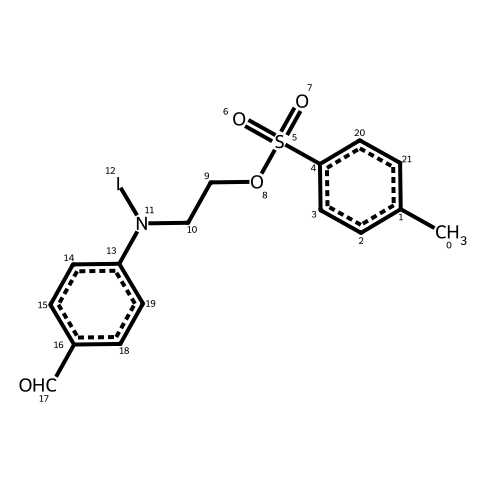 Cc1ccc(S(=O)(=O)OCCN(I)c2ccc(C=O)cc2)cc1